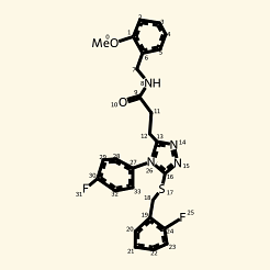 COc1ccccc1CNC(=O)CCc1nnc(SCc2ccccc2F)n1-c1ccc(F)cc1